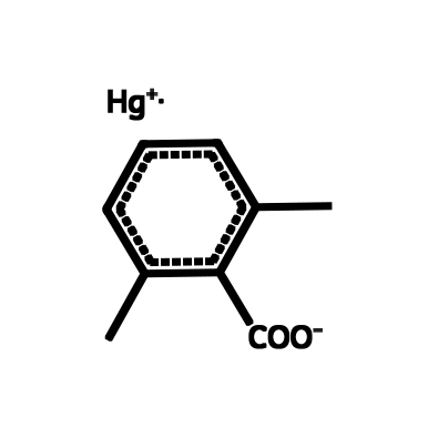 Cc1cccc(C)c1C(=O)[O-].[Hg+]